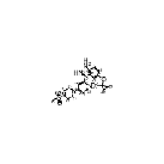 CCC1(Oc2ccc(N)c(C(=N)c3cc(N4CCN(S(C)(=O)=O)CC4)ncn3)c2)CC1